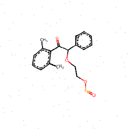 Cc1cccc(C)c1C(=O)C(OCCOP=O)c1ccccc1